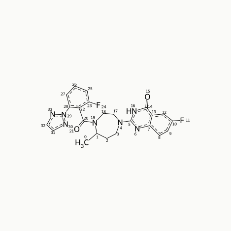 CC1CCN(c2nc3ccc(F)cc3c(=O)[nH]2)CCN1C(=O)c1c(F)cccc1-n1nccn1